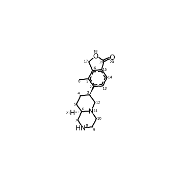 Cc1c([C@@H]2CC[C@@H]3CNCCN3C2)ccc2c1COC2=O